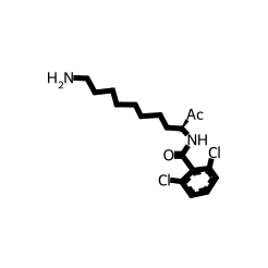 CC(=O)[C@H](CCCCCCCCN)NC(=O)c1c(Cl)cccc1Cl